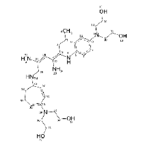 CCC/C(Nc1ccc(N(CCO)CCO)cc1)=C(N)\C=C(\N)CNC1C=CC(N(CCO)CCO)=CCC1